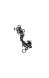 Cc1sc2c(c1C)[C@H](c1ccc(Cl)cc1)NC(CC(=O)N1CCC(CN3CC4CC3CN4c3cc4c(cc3F)C(=O)N(C3CCC(=O)NC3=O)C4=O)CC1)c1nnc(C)n1-2